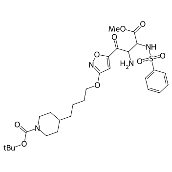 COC(=O)C(NS(=O)(=O)c1ccccc1)C(N)C(=O)c1cc(OCCCCC2CCN(C(=O)OC(C)(C)C)CC2)no1